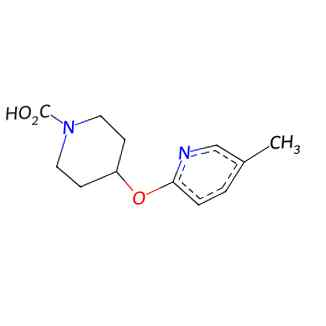 Cc1ccc(OC2CCN(C(=O)O)CC2)nc1